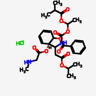 CNCC(=O)O[C@]1(C(CC(=O)OC(C)C)NC(=O)OC(C)OC(=O)C(C)C)C=CC=CC1OC(=O)c1ccccc1.Cl